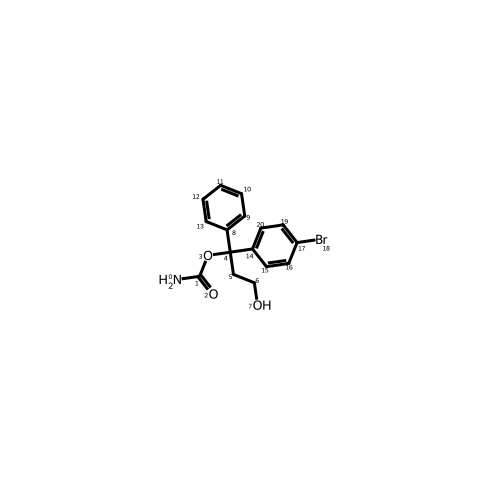 NC(=O)OC(CCO)(c1ccccc1)c1ccc(Br)cc1